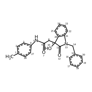 Cc1ccc(NC(=O)CC2(O)C(=O)N(Cc3ccccc3)c3ccccc32)cc1